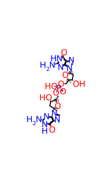 Nc1nc2c(ncn2[C@H]2CC(O)[C@@H](COP(=O)(O)OC[C@H]3O[C@@H](n4cnc5c(=O)[nH]c(N)nc54)CC3O)O2)c(=O)[nH]1